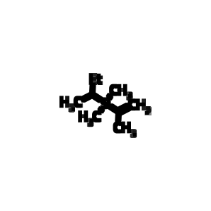 C=C(C)[Si](C)(C)C(C)CC